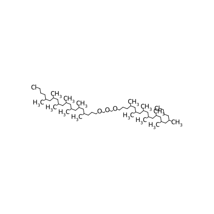 CC(CCCCl)CC(C)CC(C)CC(C)CC(C)CC(C)CC(C)CCCOCOCOCCCC(C)CC(C)CC(C)CC(C)CC(C)CC(C)CC(C)CCCCl